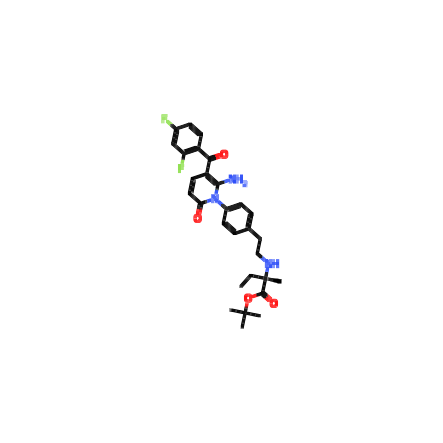 CC[C@](C)(NCCc1ccc(-n2c(N)c(C(=O)c3ccc(F)cc3F)ccc2=O)cc1)C(=O)OC(C)(C)C